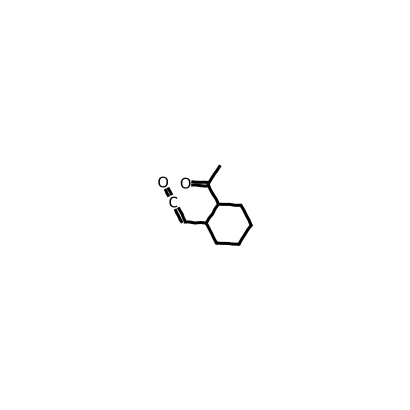 CC(=O)C1CCCCC1C=C=O